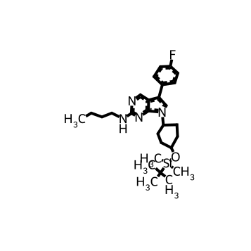 CCCCNc1ncc2c(-c3ccc(F)cc3)cn(C3CCC(O[Si](C)(C)C(C)(C)C)CC3)c2n1